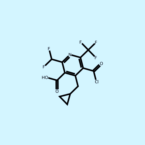 O=C(O)c1c(C(F)F)nc(C(F)(F)F)c(C(=O)Cl)c1CC1CC1